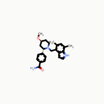 CO[C@H]1CCN(Cc2c(C)cc(C)c3[nH]ccc23)[C@H](c2ccc(C(N)=O)cc2)C1